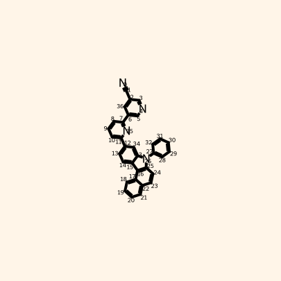 N#Cc1cncc(-c2cccc(-c3ccc4c5c6ccccc6ccc5n(-c5ccccc5)c4c3)n2)c1